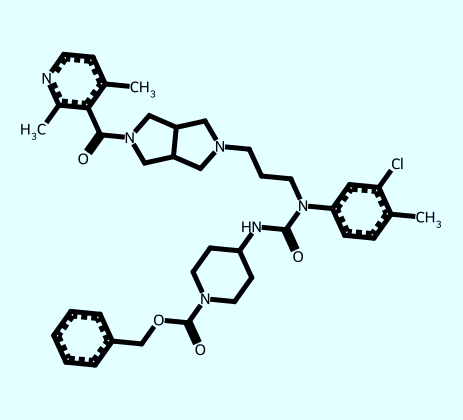 Cc1ccc(N(CCCN2CC3CN(C(=O)c4c(C)ccnc4C)CC3C2)C(=O)NC2CCN(C(=O)OCc3ccccc3)CC2)cc1Cl